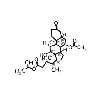 CC(=O)O[C@@H]1C[C@@H]2CC(=O)CC[C@]2(C)C2C[C@H](O)[C@]3(C)[C@@H]([C@H](C)CCC(=O)OC(C)C)CC[C@H]3C21